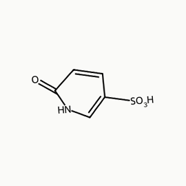 O=c1ccc(S(=O)(=O)O)c[nH]1